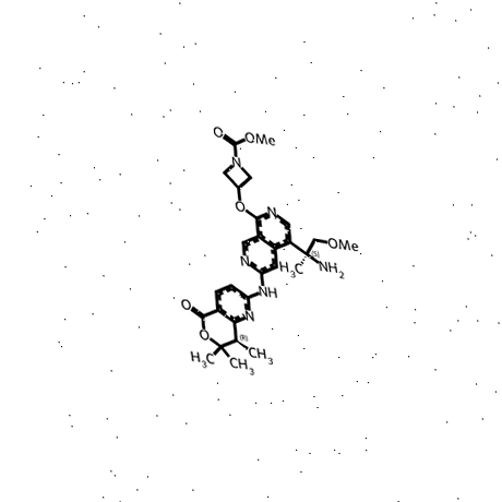 COC[C@@](C)(N)c1cnc(OC2CN(C(=O)OC)C2)c2cnc(Nc3ccc4c(n3)[C@@H](C)C(C)(C)OC4=O)cc12